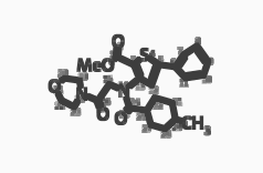 COC(=O)c1sc(-c2ccccc2)cc1N(CC(=O)N1CCOCC1)C(=O)C1CCC(C)CC1